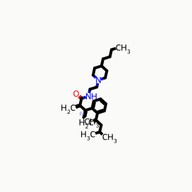 C=C(C(=O)NCCN1CCC(CCCC)CC1)/C(=C/C)c1ccccc1C(=C)CC(C)C